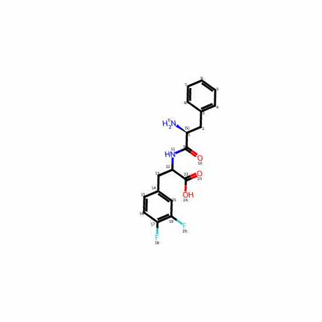 N[C@@H](Cc1ccccc1)C(=O)NC(Cc1ccc(F)c(F)c1)C(=O)O